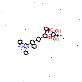 Bc1c(O)c(O)c(-n2c3ccccc3c3cc(-c4ccc(-c5ccc(C(=C/Cc6ccccc6)/N=C(\N)c6ccccc6)c6ccccc56)cc4)ccc32)c(O)c1O